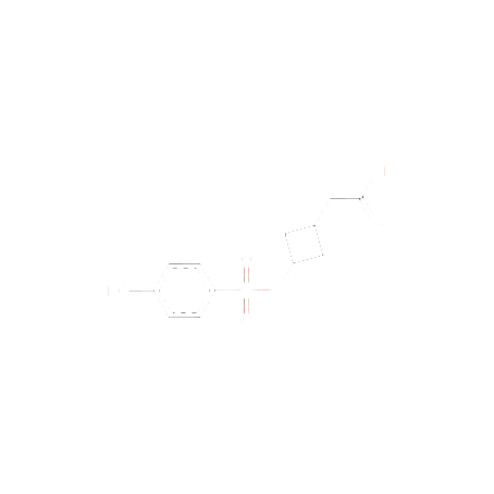 Cc1ccc(S(=O)(=O)OC2CC(CC(=O)O)C2)cc1